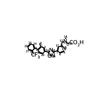 Cc1cc(-c2nc(-c3ccnc(CN(C)CC(=O)O)c3)no2)ccc1-c1ccccc1C(F)(F)F